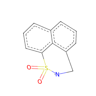 O=S1(=O)[N]Cc2cccc3cccc1c23